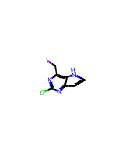 Clc1nc(CI)c2[nH]ccc2n1